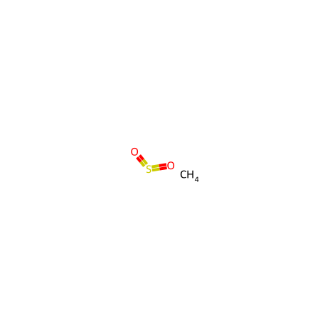 C.O=S=O